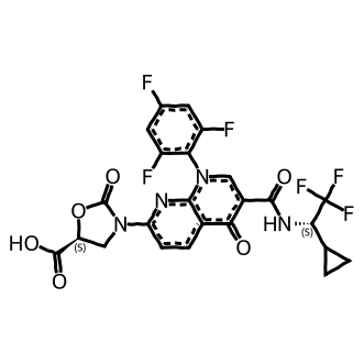 O=C(N[C@@H](C1CC1)C(F)(F)F)c1cn(-c2c(F)cc(F)cc2F)c2nc(N3C[C@@H](C(=O)O)OC3=O)ccc2c1=O